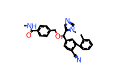 CNC(=O)c1ccc(CO[C@H](c2ccc(C#N)c(-c3ccccc3C)c2)c2cncn2C)cc1